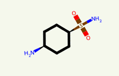 NS(=O)(=O)[C@H]1CC[C@@H](N)CC1